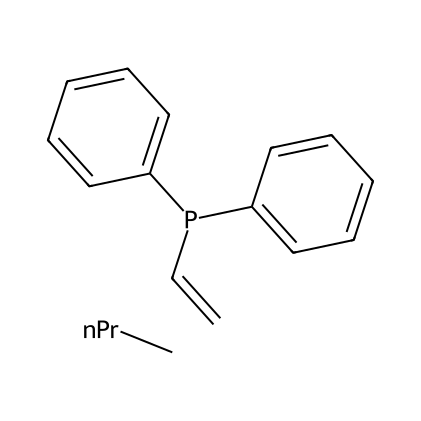 C=CP(c1ccccc1)c1ccccc1.CCCC